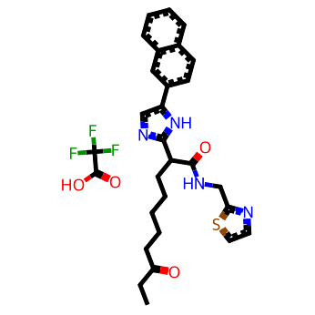 CCC(=O)CCCCCC(C(=O)NCc1nccs1)c1ncc(-c2ccc3ccccc3c2)[nH]1.O=C(O)C(F)(F)F